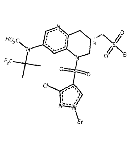 CCn1cc(S(=O)(=O)N2C[C@@H](CS(=O)(=O)CC)Cc3ncc(N(C(=O)O)C(C)(C)C(F)(F)F)cc32)c(Cl)n1